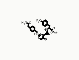 COC(=O)C(Cc1ccc(C(F)(F)F)cc1)NC1CC1c1nc(NCc2ccc(CC(N)=O)cc2)ncc1F